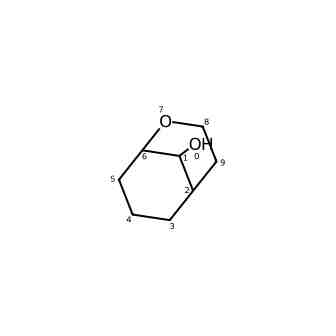 OC1C2CCCC1OCC2